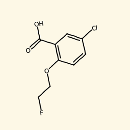 O=C(O)c1cc(Cl)ccc1OCCF